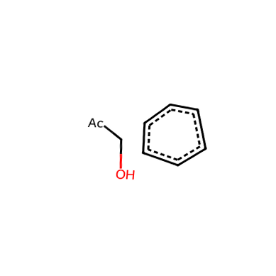 CC(=O)CO.c1ccccc1